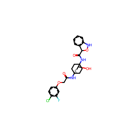 O=C(COc1ccc(Cl)c(F)c1)NC12CCC(NC(=O)C3ONc4ccccc43)(CC1)C(O)C2